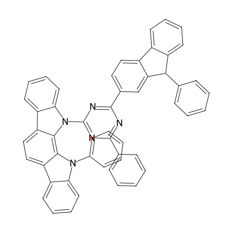 c1ccc(-c2nc(-c3ccc4c(c3)C(c3ccccc3)c3ccccc3-4)nc(-n3c4ccccc4c4ccc5c6ccccc6n(-c6ccccc6)c5c43)n2)cc1